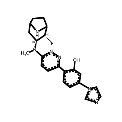 CN(c1ccc(-c2ccc(-n3ccnc3)cc2O)nn1)[C@H]1CC2CCC(N2)[C@@H]1F